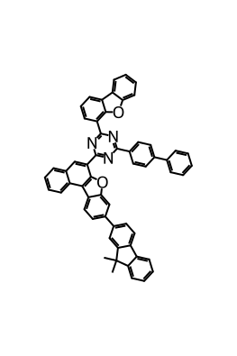 CC1(C)c2ccccc2-c2ccc(-c3ccc4c(c3)oc3c(-c5nc(-c6ccc(-c7ccccc7)cc6)nc(-c6cccc7c6oc6ccccc67)n5)cc5ccccc5c34)cc21